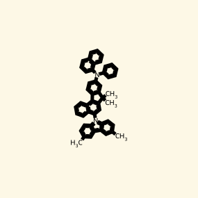 Cc1ccc2c(c1)c1cc(C)ccc1n2-c1cc2c(c3ccccc13)-c1ccc(N(c3ccccc3)c3cccc4ccccc34)cc1C2(C)C